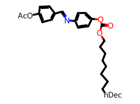 CCCCCCCCCCCCCCCCCCOC(=O)Oc1ccc(N=Cc2ccc(OC(C)=O)cc2)cc1